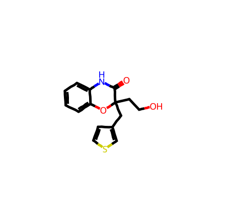 O=C1Nc2ccccc2OC1(CCO)Cc1ccsc1